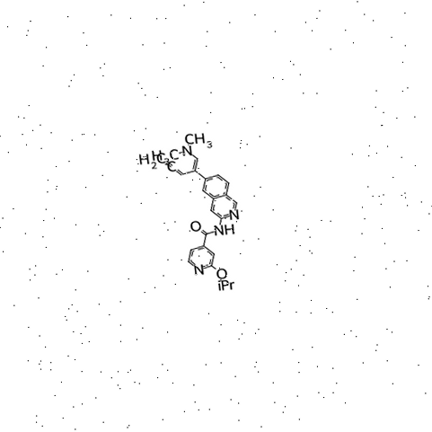 C=C=C/C(=C\N(C)C)c1ccc2cnc(NC(=O)c3ccnc(OC(C)C)c3)cc2c1